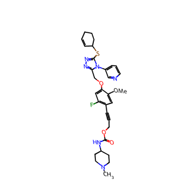 COc1cc(C#CCOC(=O)NC2CCN(C)CC2)c(F)cc1OCc1nnc(SC2C=CCCC2)n1-c1cccnc1